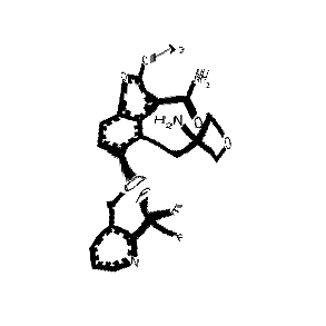 Cc1oc2ccc(OCc3cccnc3C(F)(F)F)c(CC3(N)COC3)c2c1C(N)=O